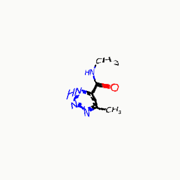 CNC(=O)c1[nH]nnc1C